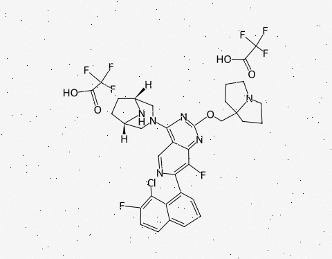 Fc1ccc2cccc(-c3ncc4c(N5C[C@H]6CC[C@@H](C5)N6)nc(OCC56CCCN5CCC6)nc4c3F)c2c1Cl.O=C(O)C(F)(F)F.O=C(O)C(F)(F)F